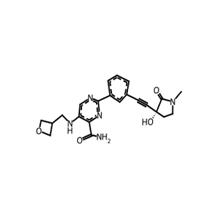 CN1CC[C@@](O)(C#Cc2cccc(-c3ncc(NCC4COC4)c(C(N)=O)n3)c2)C1=O